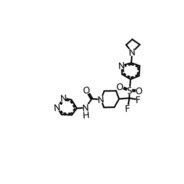 O=C(Nc1ccnnc1)N1CCC(C(F)(F)S(=O)(=O)c2ccc(N3CCC3)nc2)CC1